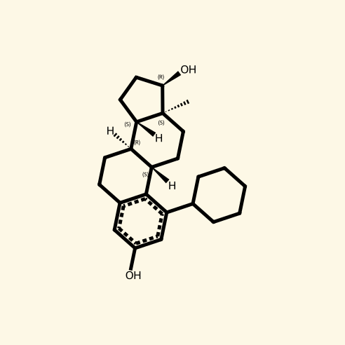 C[C@]12CC[C@@H]3c4c(cc(O)cc4C4CCCCC4)CC[C@H]3[C@@H]1CC[C@H]2O